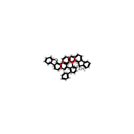 CC1(C)c2ccccc2-c2cccc(N(c3cccc(-c4cccc5c4oc4ccccc45)c3)c3cccc(-c4ccccc4)c3-c3ccccc3-c3ccccc3)c21